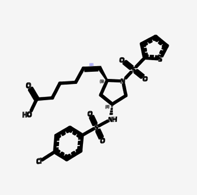 O=C(O)CCC/C=C\[C@@H]1C[C@@H](NS(=O)(=O)c2ccc(Cl)cc2)CN1S(=O)(=O)c1cccs1